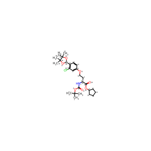 CC(C)(C)OC(=O)N[C@@H](CCOc1ccc(B2OC(C)(C)C(C)(C)O2)c(Cl)c1)C(=O)OC1CCCC1